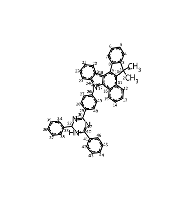 CC1(C)c2ccccc2-c2c1c1ccccc1c1c2c2ccccc2n1-c1ccc(C2=NC(c3ccccc3)NC(c3ccccc3)=N2)cc1